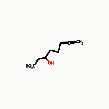 C=C=CCCC(O)CC(=O)O